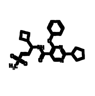 CS(=O)(=O)/C=C/C(NC(=O)c1cnc(C2CCCC2)nc1Oc1ccccc1)C1CCC1